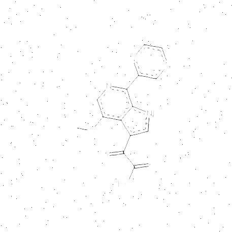 COc1cnc(-c2cnccn2)c2[nH]cc(C(=O)C(=O)O)c12